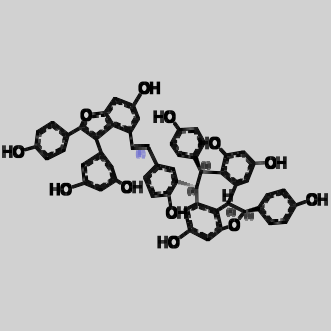 Oc1ccc(-c2oc3cc(O)cc(/C=C/c4ccc(O)c([C@H]5c6cc(O)cc7c6[C@H](c6cc(O)cc(O)c6[C@@H]5c5ccc(O)cc5)[C@@H](c5ccc(O)cc5)O7)c4)c3c2-c2cc(O)cc(O)c2)cc1